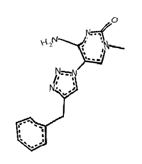 Cn1cc(-n2cc(Cc3ccccc3)nn2)c(N)nc1=O